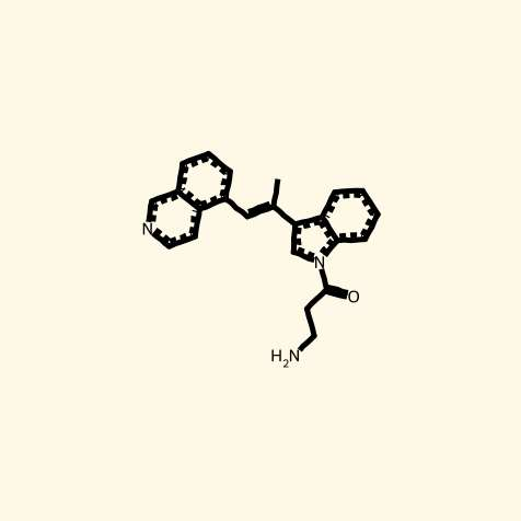 C/C(=C\c1cccc2cnccc12)c1cn(C(=O)CCN)c2ccccc12